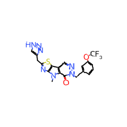 Cn1c2nc(Cc3c[nH]nn3)sc2c2cnn(Cc3cccc(OC(F)(F)F)c3)c(=O)c21